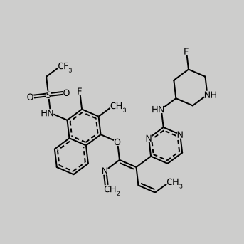 C=N/C(Oc1c(C)c(F)c(NS(=O)(=O)CC(F)(F)F)c2ccccc12)=C(\C=C/C)c1ccnc(NC2CNCC(F)C2)n1